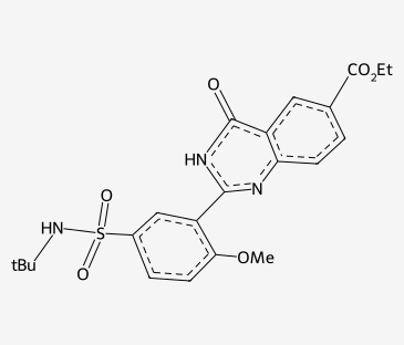 CCOC(=O)c1ccc2nc(-c3cc(S(=O)(=O)NC(C)(C)C)ccc3OC)[nH]c(=O)c2c1